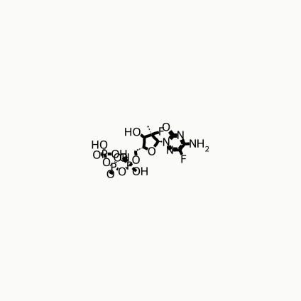 C[C@@]1(F)C(O)[C@@H](COP(=O)(O)OP(=O)(O)OP(=O)(O)O)O[C@H]1n1nc(F)c(N)nc1=O